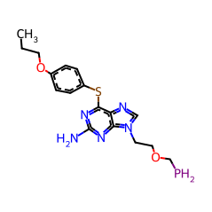 CCCOc1ccc(Sc2nc(N)nc3c2ncn3CCOCP)cc1